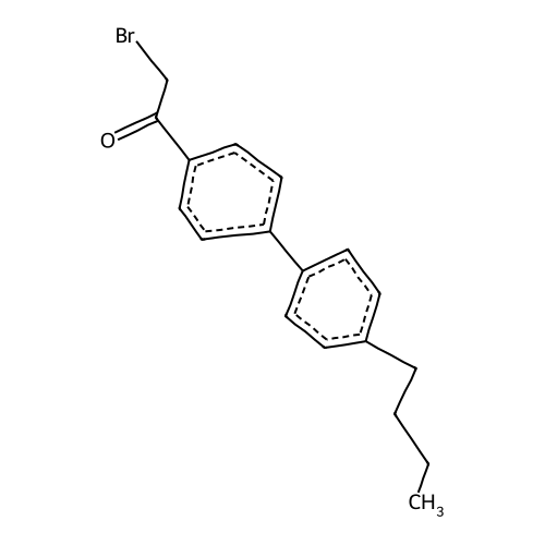 CCCCc1ccc(-c2ccc(C(=O)CBr)cc2)cc1